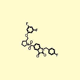 O=C1C(=O)N(Cc2ccc(F)cc2)c2ccc(S(=O)(=O)N3CCCC3COc3cc(F)cc(F)c3)cc21